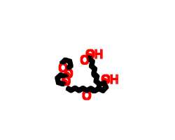 C1CCC(OC2CCCCO2)OC1.CCCCCC(=O)C=CC1CCC(O)C1CC=CCCCC(=O)O